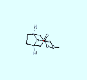 CO/C=C1\C[C@H]2CC[C@@H](C1)N2C(=O)OC